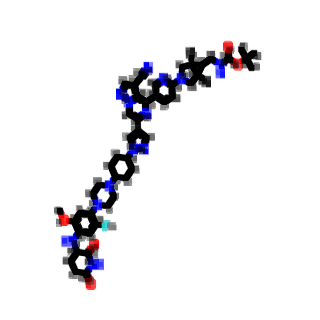 COc1cc(N2CCN(C3CCC(n4cc(-c5cn6ncc(C#N)c6c(-c6ccc(N7C[C@@H]8C(CNC(=O)OC(C)(C)C)[C@@H]8C7)nc6)n5)cn4)CC3)CC2)c(F)cc1NC1CCC(=O)NC1=O